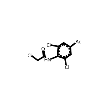 CC(=O)c1cc(Cl)c(NC(=O)CCl)c(Cl)c1